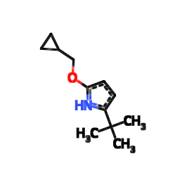 CC(C)(C)c1ccc(OCC2CC2)[nH]1